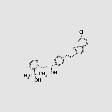 CC(C)(O)c1ccccc1CCC(O)c1ccc(C=Cc2ccc3ccc(Cl)cc3n2)cc1